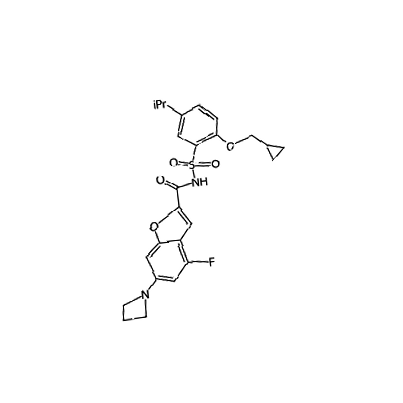 CC(C)c1ccc(OCC2CC2)c(S(=O)(=O)NC(=O)c2cc3c(F)cc(N4CCC4)cc3o2)c1